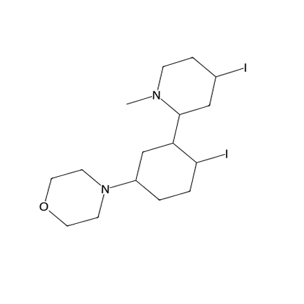 CN1CCC(I)CC1C1CC(N2CCOCC2)CCC1I